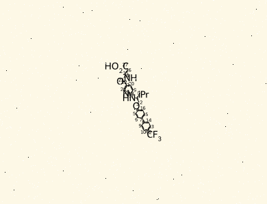 CC(C)[C@@H](COc1ccc(-c2ccc(C(F)(F)F)cc2)cc1)Nc1ccc(C(=O)NCCC(=O)O)cn1